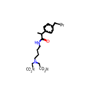 CC(C)Cc1ccc(C(C)C(=O)NCCCCN(CC(=O)O)CC(=O)O)cc1